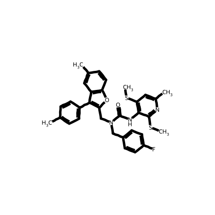 CSc1cc(C)nc(SC)c1NC(=O)N(Cc1ccc(F)cc1)Cc1oc2ccc(C)cc2c1-c1ccc(C)cc1